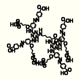 O=C(O)c1ccc(N=Nc2ccc(Nc3nc(NCCCCC(Nc4nc(Nc5ccc(N=Nc6ccc(C(=O)O)cc6)cc5OCCCSOOO)nc(Nc5ccc(N=Nc6ccc(C(=O)O)cc6)cc5OCCCS(=O)(=O)O)n4)C(=O)O)nc(Nc4ccc(N=Nc5ccc(C(=O)O)cc5)cc4OCCCS(=O)(=O)O)n3)c(OCCCSOOO)c2)cc1